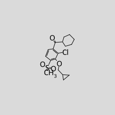 CS(=O)(=O)c1ccc(C(=O)C2CCCCC2)c(Cl)c1OCC1CC1